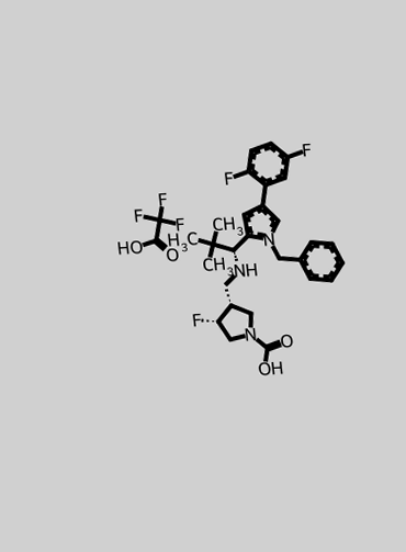 CC(C)(C)[C@@H](NC[C@@H]1CN(C(=O)O)C[C@@H]1F)c1cc(-c2cc(F)ccc2F)cn1Cc1ccccc1.O=C(O)C(F)(F)F